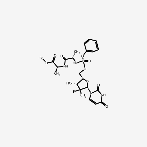 CC(C)OC(=O)[C@H](C)NC(=O)[C@H](C)NP(=O)(OC[C@H]1O[C@@H](n2ccc(=O)[nH]c2=O)[C@](C)(F)[C@@H]1O)Oc1ccccc1